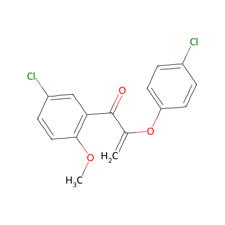 C=C(Oc1ccc(Cl)cc1)C(=O)c1cc(Cl)ccc1OC